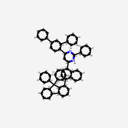 c1ccc(-c2ccc(-c3cc(-c4ccc(-c5cccc6c5C(c5ccccc5)(c5ccccc5)c5ccccc5-6)c5ccccc45)nc(-c4ccccc4)n3)c(-c3ccccc3)c2)cc1